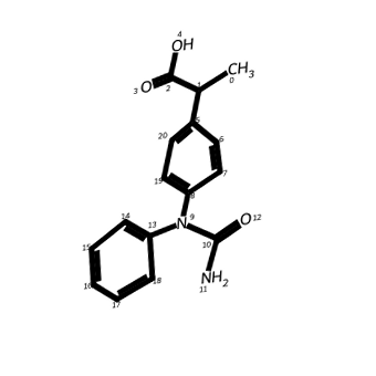 CC(C(=O)O)c1ccc(N(C(N)=O)c2ccccc2)cc1